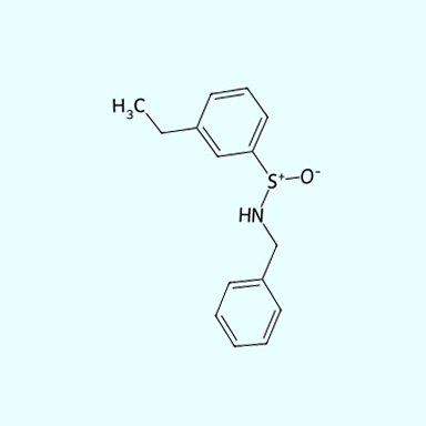 CCc1cccc([S+]([O-])NCc2ccccc2)c1